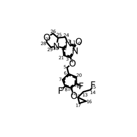 O=c1nc(OCc2cc(F)c(OC3(CCF)CC3)c(F)c2)cc2n1CC1COCCN21